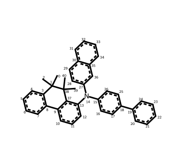 CC1(C)c2ccccc2-c2cccc(N(c3ccc(-c4ccccc4)cc3)c3ccc4ccccc4c3)c2C1(C)C